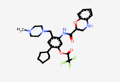 CN1CCN(Cc2cc(C3CCCC3)c(OC(=O)C(F)(F)F)cc2NC(=O)C2CNc3ccccc3O2)CC1